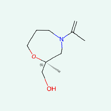 C=C(C)N1CCCO[C@](C)(CO)C1